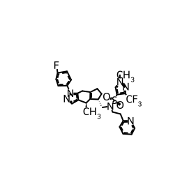 C[C@@H]1C2=C(CC[C@@H]2CN(CCc2ccccn2)S(=O)(=O)c2cn(C)nc2C(F)(F)F)Cc2c1cnn2-c1ccc(F)cc1